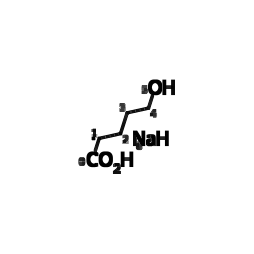 O=C(O)[CH]CCCO.[NaH]